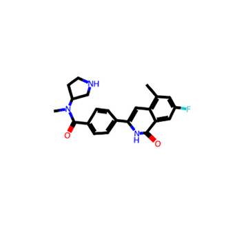 Cc1cc(F)cc2c(=O)[nH]c(-c3ccc(C(=O)N(C)C4CCNC4)cc3)cc12